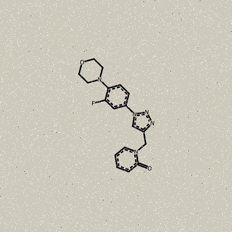 O=c1ccccn1Cc1cn(-c2ccc(N3CCOCC3)c(F)c2)nn1